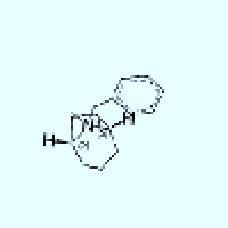 C[N+]1(Cc2ccccc2)[C@@H]2CCC[C@H]1CC2